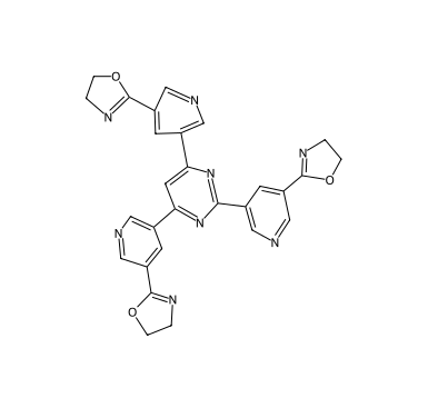 c1ncc(-c2cc(-c3cncc(C4=NCCO4)c3)nc(-c3cncc(C4=NCCO4)c3)n2)cc1C1=NCCO1